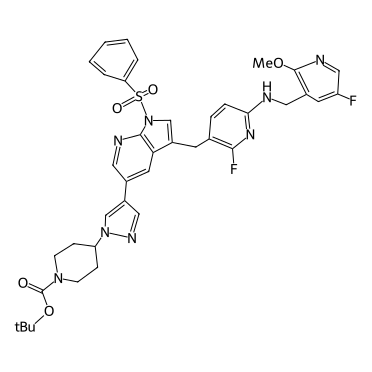 COc1ncc(F)cc1CNc1ccc(Cc2cn(S(=O)(=O)c3ccccc3)c3ncc(-c4cnn(C5CCN(C(=O)OC(C)(C)C)CC5)c4)cc23)c(F)n1